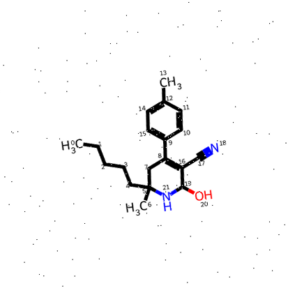 CCCCCC1(C)CC(c2ccc(C)cc2)=C(C#N)C(O)N1